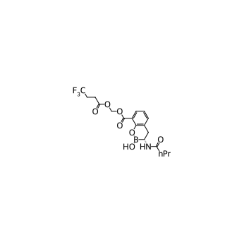 CCCC(=O)N[C@H]1Cc2cccc(C(=O)OCOC(=O)CCC(F)(F)F)c2OB1O